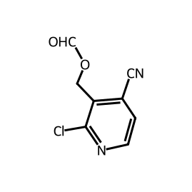 N#Cc1ccnc(Cl)c1COC=O